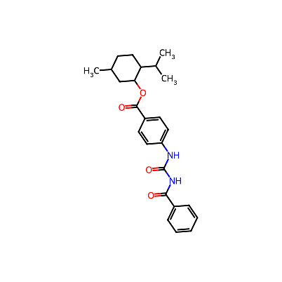 CC1CCC(C(C)C)C(OC(=O)c2ccc(NC(=O)NC(=O)c3ccccc3)cc2)C1